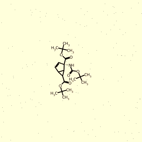 CC(C)(C)OC(=O)N[C@@]1(C(=O)OC(C)(C)C)C=CC2C(C(=O)OC(C)(C)C)C21